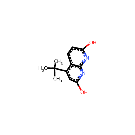 CC(C)(C)c1cc(O)nc2nc(O)ccc12